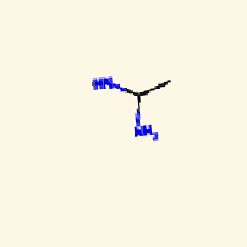 CC([NH])N